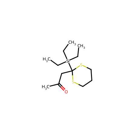 CC[Si](CC)(CC)C1(CC(C)=O)SCCCS1